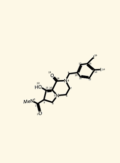 CNC(=O)C1CN2CCN(Cc3ccc(I)c(I)c3)C(=O)C2=C1O